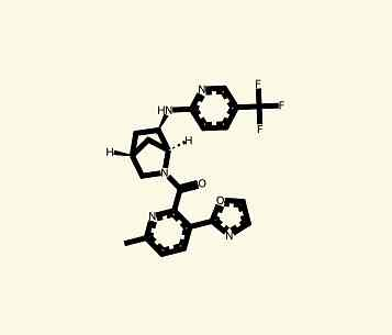 Cc1ccc(-c2ncco2)c(C(=O)N2C[C@@H]3C[C@@H](Nc4ccc(C(F)(F)F)cn4)[C@@H]2C3)n1